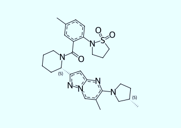 Cc1ccc(N2CCCS2(=O)=O)c(C(=O)N2CCCC[C@H]2c2cc3nc(N4CC[C@H](C)C4)c(C)cn3n2)c1